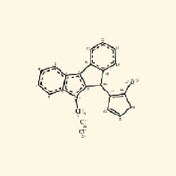 Cn1c2c(c3ccccc31)-c1ccccc1C2C1=[C]([Zr+2])CC=C1.[Cl-].[Cl-]